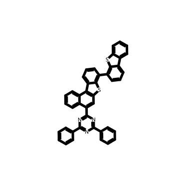 c1ccc(-c2nc(-c3ccccc3)nc(-c3cc4sc5c(-c6cccc7c6sc6ccccc67)cccc5c4c4ccccc34)n2)cc1